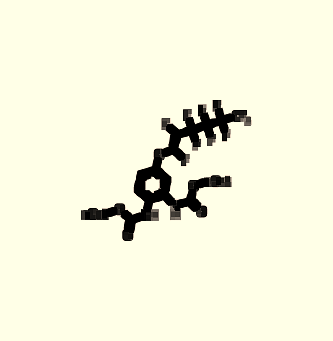 CCCCCCCCOC(=O)Nc1ccc(OC(F)=C(F)C(F)(F)C(F)(F)C(F)(F)C(F)(F)F)cc1NC(=O)OCCCCCCCC